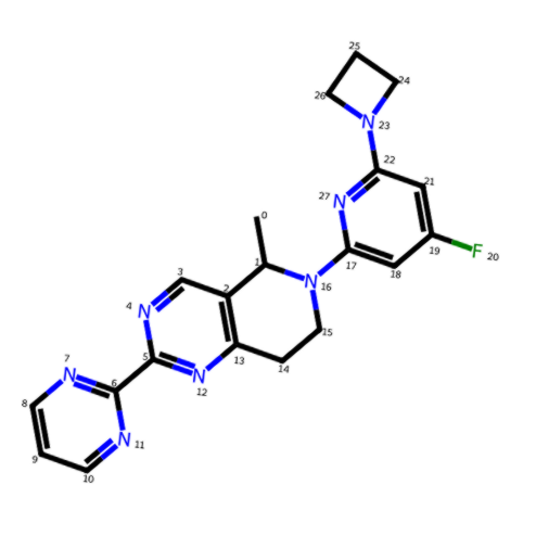 CC1c2cnc(-c3ncccn3)nc2CCN1c1cc(F)cc(N2CCC2)n1